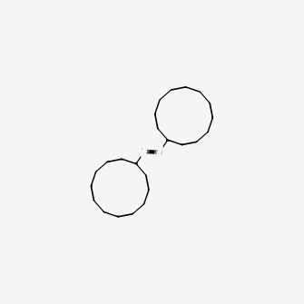 C1CCCCCC(N=NC2CCCCCCCCCCC2)CCCCC1